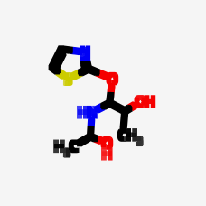 CC(O)NC(Oc1nccs1)C(C)O